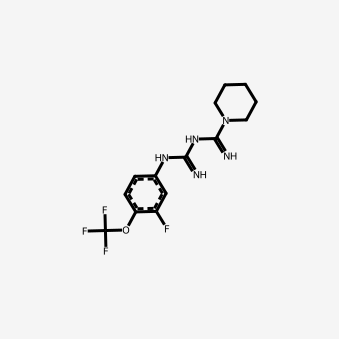 N=C(NC(=N)N1CCCCC1)Nc1ccc(OC(F)(F)F)c(F)c1